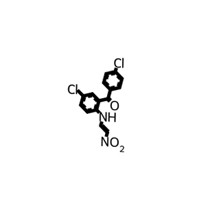 O=C(c1ccc(Cl)cc1)c1cc(Cl)ccc1N/C=C/[N+](=O)[O-]